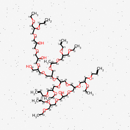 C=CCOCC(COC(COCC(O)COCC(COCC)OCC=C)COCC(COC(COCC(CO)OCC(O)COCC(O)COCC(COCC)OCC=C)COC(C)COCC(COCC)OCC=C)OCC(COCC=C)OCC)OCC